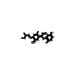 CCN(C)C=Nc1cc(C)c(N(C=O)Cc2cc(C)ccc2C)cc1Cl